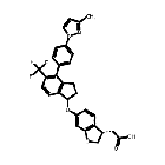 Cc1ccn(-c2ccc(-c3c(C(F)(F)F)ccc4c3CC[C@H]4Oc3ccc4c(c3)OC[C@H]4CC(=O)O)cc2)n1